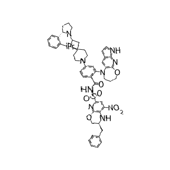 CC(C)c1ccccc1[C@@H]1CCCN1C1CC2(CCN(c3ccc(C(=O)NS(=O)(=O)c4cc([N+](=O)[O-])c5c(n4)OC[C@H](Cc4ccccc4)N5)c(N4CCCOc5nc6[nH]ccc6cc54)c3)CC2)C1